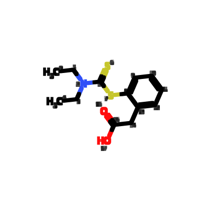 CCN(CC)C(=S)Sc1ccccc1CC(=O)O